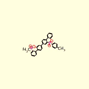 Cc1ccc(P2(=O)Oc3ccccc3-c3ccc(-c4ccc5c(c4)OP(C)(=O)c4ccccc4-5)cc32)cc1